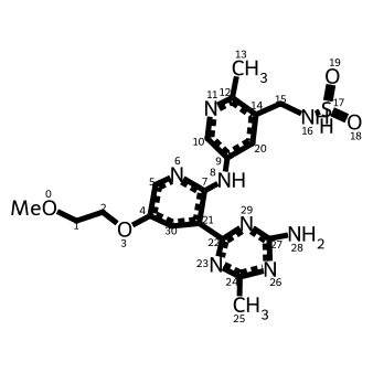 COCCOc1cnc(Nc2cnc(C)c(CN[SH](=O)=O)c2)c(-c2nc(C)nc(N)n2)c1